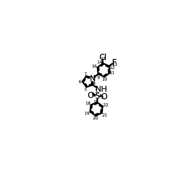 O=S(=O)(Nc1cccn1-c1ccc(F)c(Cl)c1)c1ccccc1